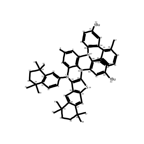 Cc1cc2c3c(c1)N(c1ccc4c(c1)C(C)(C)CCC4(C)C)c1c(sc4cc5c(cc14)C(C)(C)CCC5(C)C)B3c1cc(C(C)(C)C)ccc1N2c1ccc(C(C)(C)C)cc1-c1c(C)cccc1C